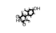 Cc1cc(O)ccc1-c1c(C)c(=O)[nH]c(=O)n1C